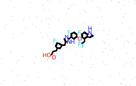 O=C(O)CCc1cc(F)cc(Cc2cnc(-c3cc(Oc4c(F)cc5[nH]ccc5c4CC(F)(F)F)ccc3F)[nH]2)c1